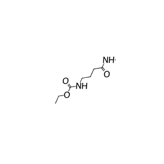 CCOC(=O)NCCCC([NH])=O